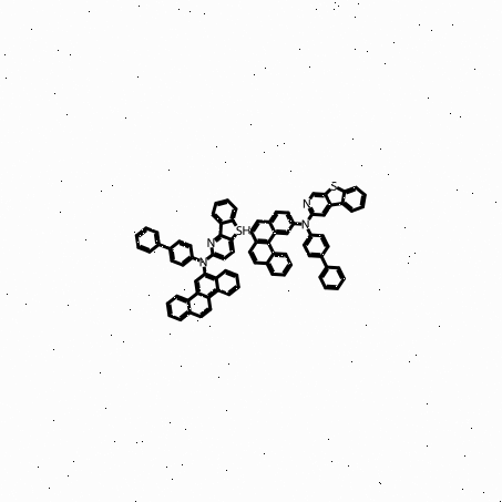 c1ccc(-c2ccc(N(c3ccc4cc([SH]5c6ccccc6-c6nc(N(c7ccc(-c8ccccc8)cc7)c7cc8c9ccccc9ccc8c8ccccc78)ccc65)c5ccc6ccccc6c5c4c3)c3cc4c(cn3)sc3ccccc34)cc2)cc1